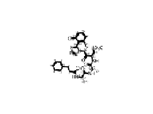 CC(C)[C@H](NC(=O)CCc1ccccc1)C(=O)N[C@@H](C)C(=O)NC(CC(=O)O)C(=O)Cn1nnnc1-c1c(Cl)cccc1Cl